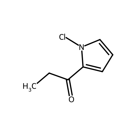 CCC(=O)c1cccn1Cl